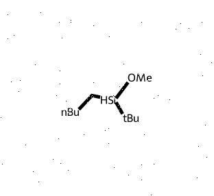 CCCCC[SiH](OC)C(C)(C)C